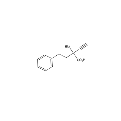 C#CC(CCc1ccccc1)(C(=O)O)C(C)CC